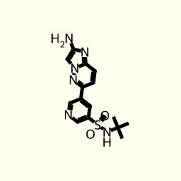 CC(C)(C)NS(=O)(=O)c1cncc(-c2ccc3nc(N)cn3n2)c1